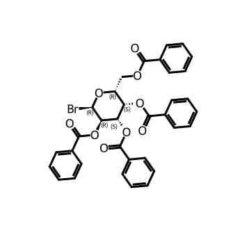 O=C(OC[C@H]1O[C@H](Br)[C@H](OC(=O)c2ccccc2)[C@@H](OC(=O)c2ccccc2)[C@H]1OC(=O)c1ccccc1)c1ccccc1